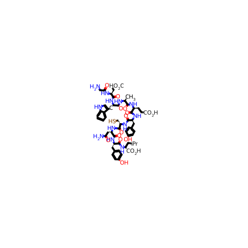 CC(C)C[C@H](NC(=O)[C@H](Cc1ccc(O)cc1)NC(=O)[C@H](CC(N)=O)NC(=O)[C@H](CS)NC(=O)[C@H](Cc1ccc(O)cc1)NC(=O)[C@H](CCC(=O)O)NC(=O)[C@H](C)NC(=O)[C@H](Cc1c[nH]c2ccccc12)NC(=O)[C@H](CC(=O)O)NC(=O)CN)C(=O)O